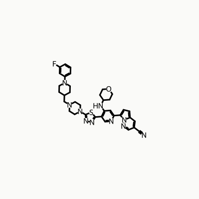 N#Cc1cnn2c(-c3cc(NC4CCOCC4)c(-c4nnc(N5CCN(CC6CCN(c7cccc(F)c7)CC6)CC5)s4)cn3)ccc2c1